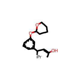 C/C(O)=C\C(c1cccc(OC2CCCCO2)c1)C(C)C